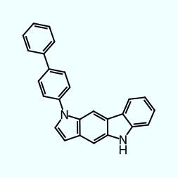 c1ccc(-c2ccc(-n3ccc4cc5[nH]c6ccccc6c5cc43)cc2)cc1